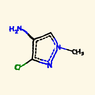 Cn1cc(N)c(Cl)n1